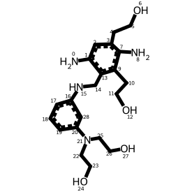 Nc1cc(CCO)c(N)c(CCO)c1CNc1cccc(N(CCO)CCO)c1